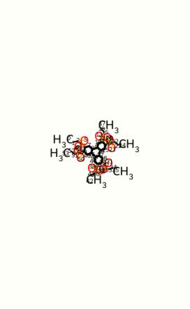 CCCS(=O)(=O)c1cc2c3cc(S(=O)(=O)CCC)c(S(=O)(=O)CCC)cc3c3cc(S(=O)(=O)CCC)c(S(=O)(=O)CCC)cc3c2cc1S(=O)(=O)CCC